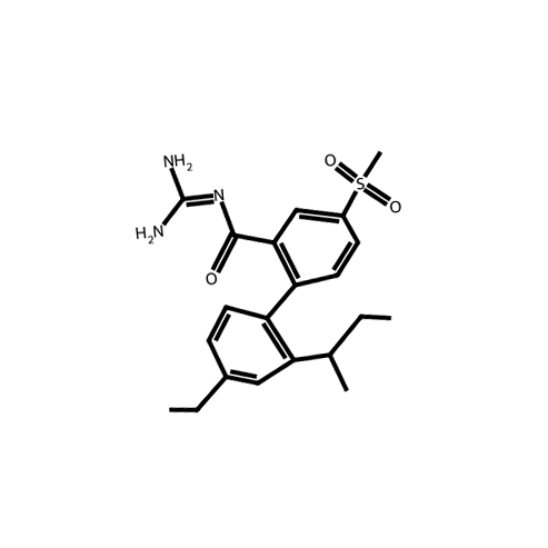 CCc1ccc(-c2ccc(S(C)(=O)=O)cc2C(=O)N=C(N)N)c(C(C)CC)c1